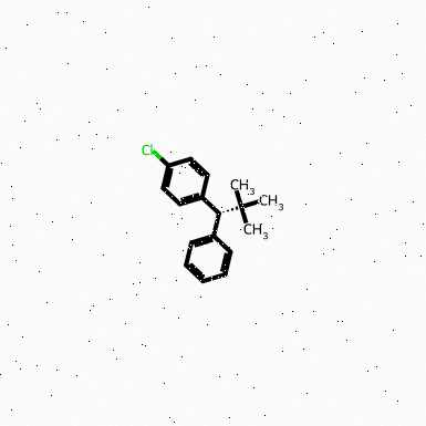 CC(C)(C)[C@H](c1ccccc1)c1ccc(Cl)cc1